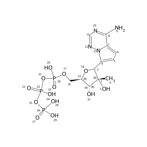 C[C@]1(O)C(c2ccc3c(N)ncnn23)O[C@H](COP(=O)(O)OP(=O)(O)OP(=O)(O)O)[C@H]1O